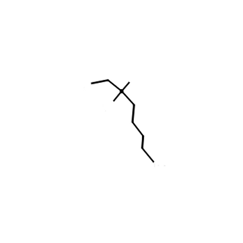 CCCCCCCCCCCCC(C)(CS(=O)(=O)O)C(=O)O